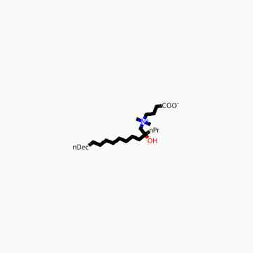 CCCCCCCCCCCCCCCCCCC(O)(CCC)C[N+](C)(C)CCCC(=O)[O-]